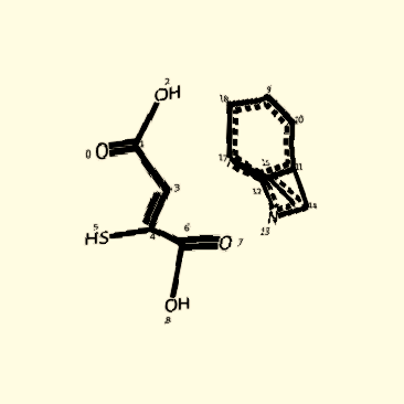 O=C(O)C=C(S)C(=O)O.c1cc2c3nc-2ccc3c1